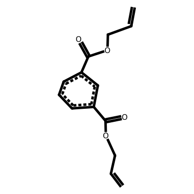 C=CCOC(=O)c1cccc(C(=O)OCC=C)c1